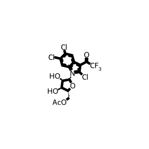 CC(=O)OC[C@H]1O[C@@H](n2c(Cl)c(C(=O)C(F)(F)F)c3cc(Cl)c(Cl)cc32)[C@H](O)[C@@H]1O